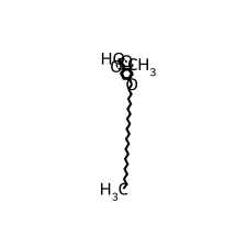 CCCCCCCCCCCCCCCCCCCCCOc1ccc(S(=O)(=O)O)c(C)c1